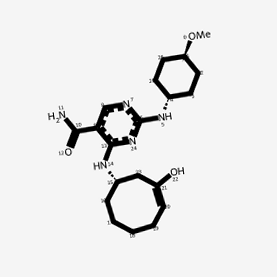 CO[C@H]1CC[C@H](Nc2ncc(C(N)=O)c(N[C@H]3CCCCC=C(O)C3)n2)CC1